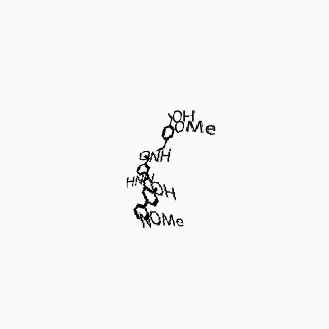 COc1cc(CCNC(=O)c2ccc3[nH]c(-c4cc(-c5cccnc5OC)ccc4O)nc3c2)ccc1C(C)O